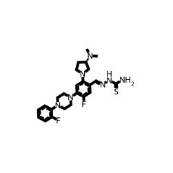 CN(C)[C@@H]1CCN(c2cc(N3CCN(c4ccccc4F)CC3)c(F)cc2/C=N/NC(N)=S)C1